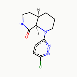 O=C1NCC[C@H]2CCCN(c3ccc(Cl)nn3)[C@@H]12